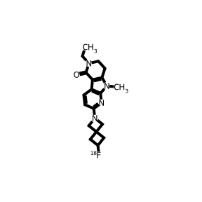 CCN1CCc2c(c3ccc(N4CC5(CC([18F])C5)C4)nc3n2C)C1=O